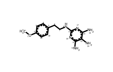 COc1ccc(CCNc2nc(N)c(N)c(N)n2)cc1